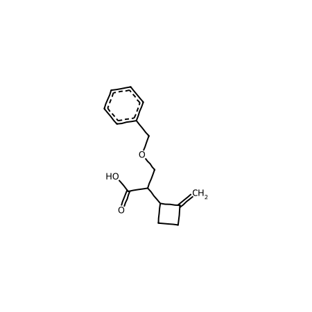 C=C1CCC1C(COCc1ccccc1)C(=O)O